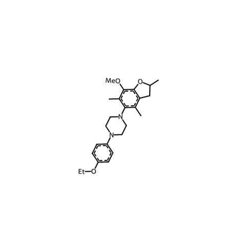 CCOc1ccc(N2CCN(c3c(C)c4c(c(OC)c3C)OC(C)C4)CC2)cc1